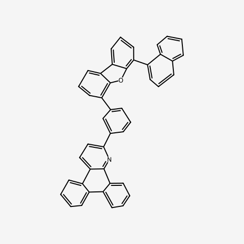 c1cc(-c2ccc3c4ccccc4c4ccccc4c3n2)cc(-c2cccc3c2oc2c(-c4cccc5ccccc45)cccc23)c1